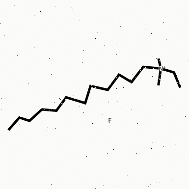 CCCCCCCCCCCC[N+](C)(C)CC.[F-]